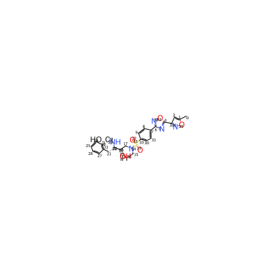 Cc1cc(-c2nc(-c3ccc(S(=O)(=O)N(CC(C)C)C[C@H](O)[C@H](Cc4ccccc4)NC(=O)O)cc3)no2)no1